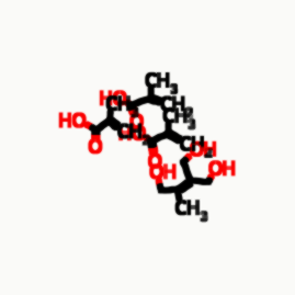 C=C(C)C(=O)O.C=C(C)C(=O)O.C=C(C)C(=O)O.CC(CO)=C(CO)CO